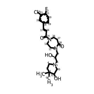 CC1(C)CCN(C[C@@H](O)CN2CCN(C(=O)/C=C/c3ccc(F)c(Cl)c3)CCC2=O)CC1O